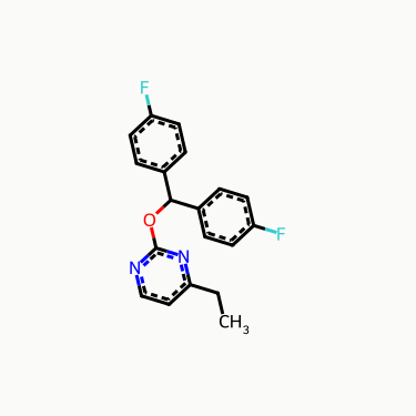 CCc1ccnc(OC(c2ccc(F)cc2)c2ccc(F)cc2)n1